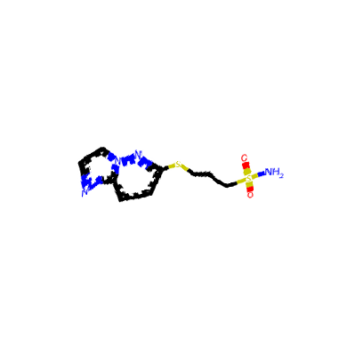 NS(=O)(=O)CCCSc1ccc2nccn2n1